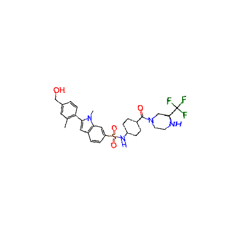 Cc1cc(CO)ccc1-c1cc2ccc(S(=O)(=O)NC3CCC(C(=O)N4CCNC(C(F)(F)F)C4)CC3)cc2n1C